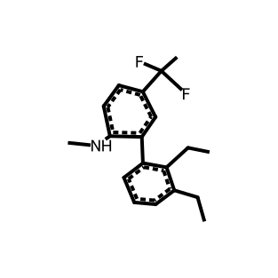 CCc1cccc(-c2cc(C(C)(F)F)ccc2NC)c1CC